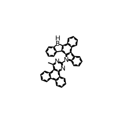 Cc1nc(-n2c3ccccc3c3c4ccccc4c4c(c32)-c2ccccc2B4)nc2c3ccccc3c3ccccc3c12